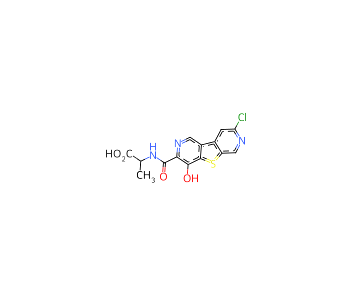 CC(NC(=O)c1ncc2c(sc3cnc(Cl)cc32)c1O)C(=O)O